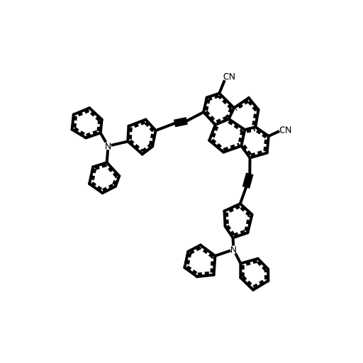 N#Cc1cc(C#Cc2ccc(N(c3ccccc3)c3ccccc3)cc2)c2ccc3c(C#Cc4ccc(N(c5ccccc5)c5ccccc5)cc4)cc(C#N)c4ccc1c2c43